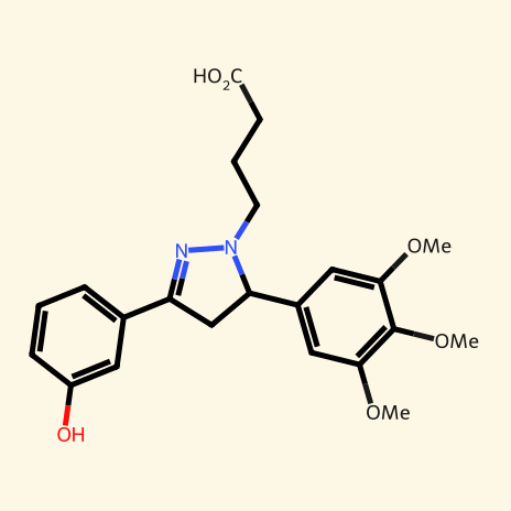 COc1cc(C2CC(c3cccc(O)c3)=NN2CCCC(=O)O)cc(OC)c1OC